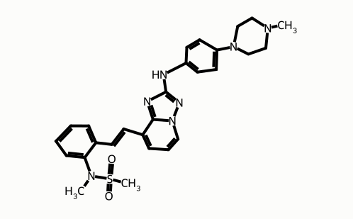 CN1CCN(c2ccc(Nc3nc4c(/C=C/c5ccccc5N(C)S(C)(=O)=O)cccn4n3)cc2)CC1